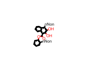 CCCCCCCCCc1ccccc1OC(=O)c1c(O)c(O)c(CCCCCCCCC)c2ccccc12